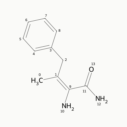 C/C(Cc1ccccc1)=C(\N)C(N)=O